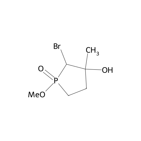 COP1(=O)CCC(C)(O)C1Br